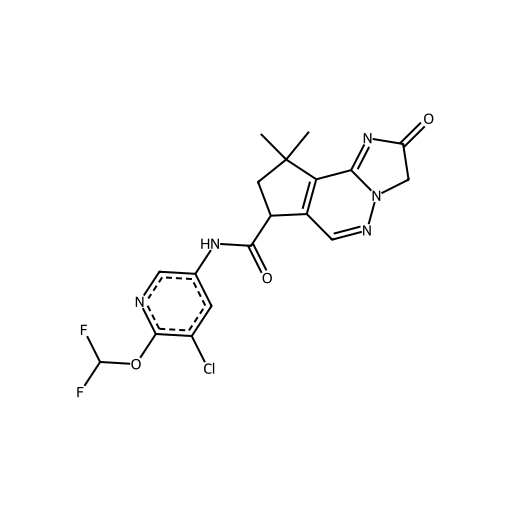 CC1(C)CC(C(=O)Nc2cnc(OC(F)F)c(Cl)c2)C2=C1C1=NC(=O)CN1N=C2